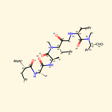 CN[C@@H](CC(C)C)C(=O)N[C@@H](C)C(=O)N[C@H](C)C(=O)N(C)[C@@H](CC(C)C)C(=O)CN[C@@H](CC(C)C)C(=O)N(C)[C@H]([C]=O)C(C)C